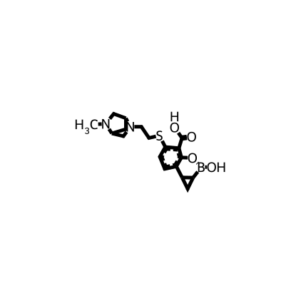 CN1CC2CC1CN2CCSc1ccc2c(c1C(=O)O)OB(O)C1CC21